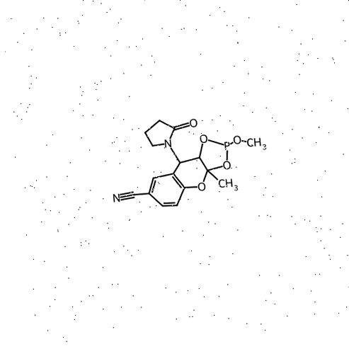 COP1OC2C(N3CCCC3=O)c3cc(C#N)ccc3OC2(C)O1